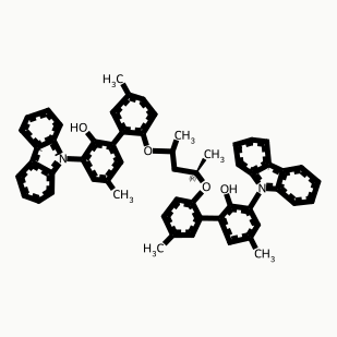 Cc1ccc(OC(C)C[C@@H](C)Oc2ccc(C)cc2-c2cc(C)cc(-n3c4ccccc4c4ccccc43)c2O)c(-c2cc(C)cc(-n3c4ccccc4c4ccccc43)c2O)c1